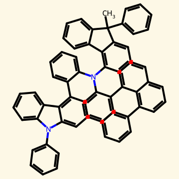 CC1(c2ccccc2)c2ccccc2-c2c(N(c3ccccc3-c3cccc4cccc(-c5ccccc5)c34)c3ccccc3-c3cccc4c3c3ccccc3n4-c3ccccc3)cccc21